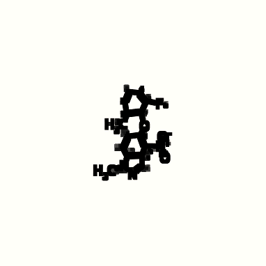 Cc1cccc(F)c1Oc1ccc2c(cnn2C)c1[N+](=O)[O-]